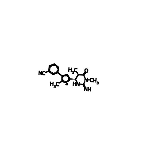 Cc1sc([C@H]2NC(=N)N(C)C(=O)[C@@H]2C)cc1-c1cccc(C#N)c1